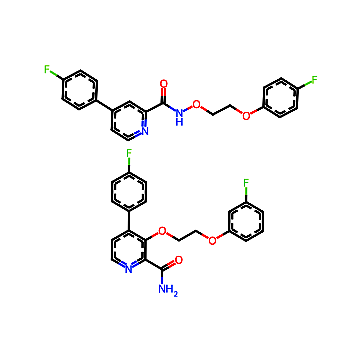 NC(=O)c1nccc(-c2ccc(F)cc2)c1OCCOc1cccc(F)c1.O=C(NOCCOc1ccc(F)cc1)c1cc(-c2ccc(F)cc2)ccn1